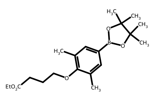 CCOC(=O)CCCOc1c(C)cc(B2OC(C)(C)C(C)(C)O2)cc1C